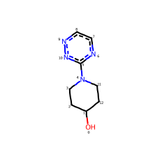 OC1CCN(c2nccnn2)CC1